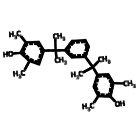 Cc1cc(C(C)(C)c2cccc(C(C)(C)c3cc(C)c(O)c(C)c3)c2)cc(C)c1O